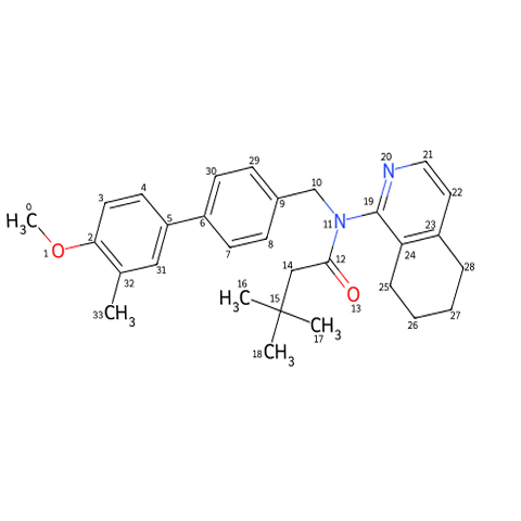 COc1ccc(-c2ccc(CN(C(=O)CC(C)(C)C)c3nccc4c3CCCC4)cc2)cc1C